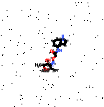 CO[C@H](/C(=N/OCC(=O)Nc1cccc2[nH]ccc12)[C@@H](O)[C@@H](C)O)C(C)C